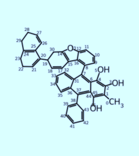 Cc1c(O)c(O)c2c(-c3cccc4oc5c(c34)C=CC(C3=CCCC4=C3C=CCC4)C5)c3ccccc3c(-c3ccccc3)c2c1O